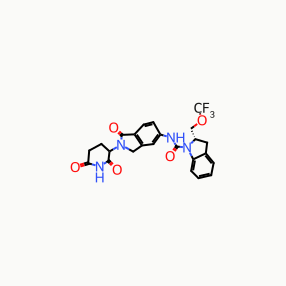 O=C1CCC(N2Cc3cc(NC(=O)N4c5ccccc5C[C@H]4COC(F)(F)F)ccc3C2=O)C(=O)N1